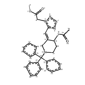 COC(=O)Cn1nnnc1C=C1CN(C(c2ccccc2)(c2ccccc2)c2ccccc2)CCC1SC(C)=O